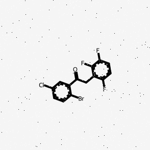 O=C(Cc1c(F)ccc(F)c1F)c1cc(Cl)ccc1Br